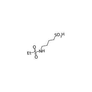 CCS(=O)(=O)NCCCCS(=O)(=O)O